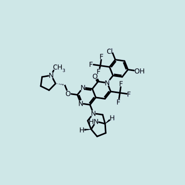 CN1CCC[C@H]1COc1nc(N2C[C@H]3CC[C@@H](C2)N3)c2cc(C(F)(F)F)n(-c3cc(O)cc(Cl)c3C(F)(F)F)c(=O)c2n1